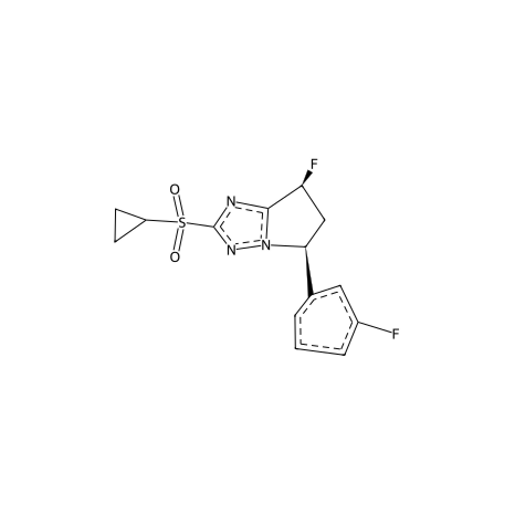 O=S(=O)(c1nc2n(n1)[C@H](c1cccc(F)c1)C[C@@H]2F)C1CC1